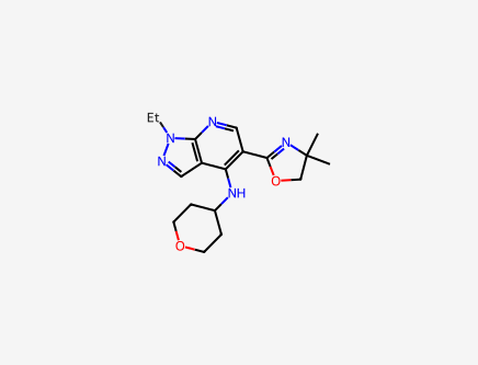 CCn1ncc2c(NC3CCOCC3)c(C3=NC(C)(C)CO3)cnc21